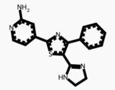 Nc1cc(-c2nc(-c3ccccc3)c(C3=NCCN3)s2)ccn1